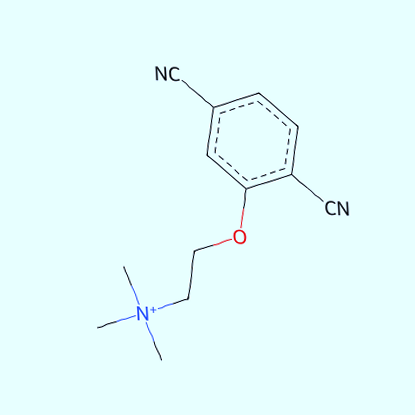 C[N+](C)(C)CCOc1cc(C#N)ccc1C#N